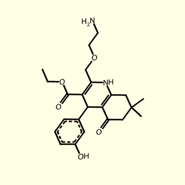 CCOC(=O)C1=C(COCCN)NC2=C(C(=O)CC(C)(C)C2)C1c1cccc(O)c1